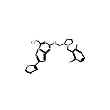 Nc1nc(NCC2CCCN2Cc2c(Cl)cccc2Cl)nc2nc(-c3ccco3)nn12